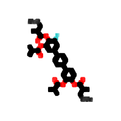 C=C(C)C(=O)Oc1cc(-c2ccc(-c3cc(F)c(OC(=O)C(=C)COC)c(OC(=O)C(=C)C)c3)cc2)ccc1OC(=O)C(=C)COC